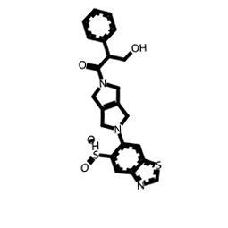 O=C(C(CO)c1ccccc1)N1CC2=C(C1)CN(c1cc3scnc3cc1[SH](=O)=O)C2